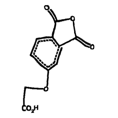 O=C(O)COc1ccc2c(c1)C(=O)OC2=O